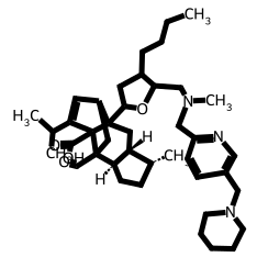 CCCCC1CC(C23C[C@@H]4[C@H](C)CC[C@H]4C4(C=O)CC2C=C(C(C)C)C34C(=O)O)OC1CN(C)Cc1ccc(CN2CCCCC2)cn1